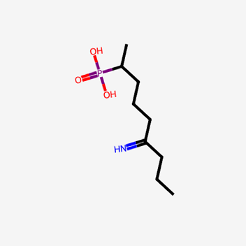 CCCC(=N)CCCC(C)P(=O)(O)O